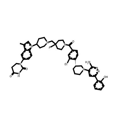 CCc1cc(C(=O)N2CCC(F)(CN3CCC(n4cc(C)c5cc(N6CCC(=O)NC6=O)ccc54)CC3)CC2)ccc1[C@H]1CCCN(c2cc(-c3ccccc3O)nnc2N)C1